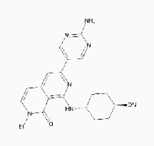 CCn1ccc2cc(-c3cnc(N)nc3)nc(N[C@H]3CC[C@H](O)CC3)c2c1=O